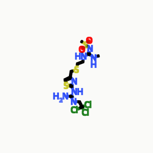 CN/C(=N/S(C)(=O)=O)NCCSCc1csc(N/C(N)=N\CC(Cl)(Cl)Cl)n1